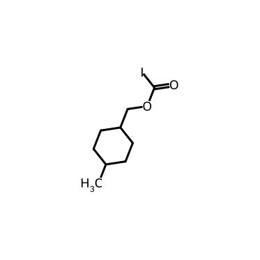 CC1CCC(COC(=O)I)CC1